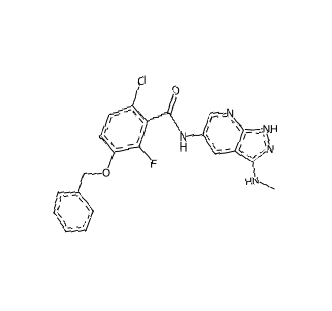 CNc1n[nH]c2ncc(NC(=O)c3c(Cl)ccc(OCc4ccccc4)c3F)cc12